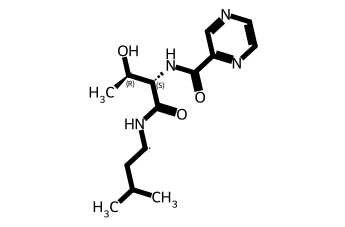 CC(C)C[CH]NC(=O)[C@@H](NC(=O)c1cnccn1)[C@@H](C)O